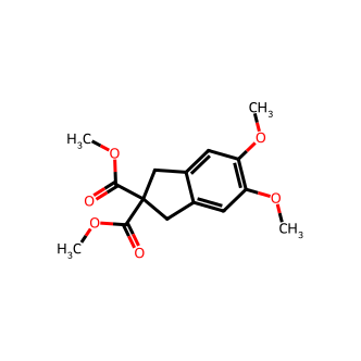 COC(=O)C1(C(=O)OC)Cc2cc(OC)c(OC)cc2C1